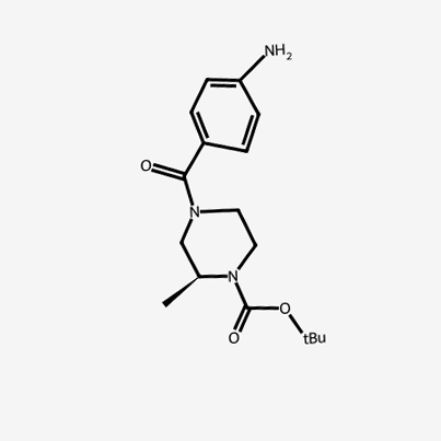 C[C@H]1CN(C(=O)c2ccc(N)cc2)CCN1C(=O)OC(C)(C)C